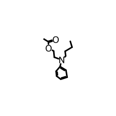 CCCCN(CCOC(C)=O)c1ccccc1